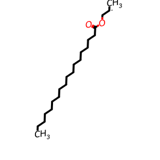 C[CH]COC(=O)CCCCCCCCCCCCCCCCC